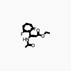 CCOC(=O)/C=C(/NC(C)=O)c1c(F)cccc1F